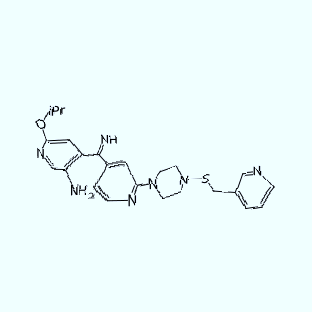 CC(C)Oc1cc(C(=N)c2ccnc(N3CCN(SCc4cccnc4)CC3)c2)c(N)cn1